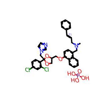 CN(C/C=C/c1ccccc1)Cc1ccc(OCC2COC(Cn3ccnc3)(c3ccc(Cl)cc3Cl)O2)c2ccccc12.O=P(O)(O)O